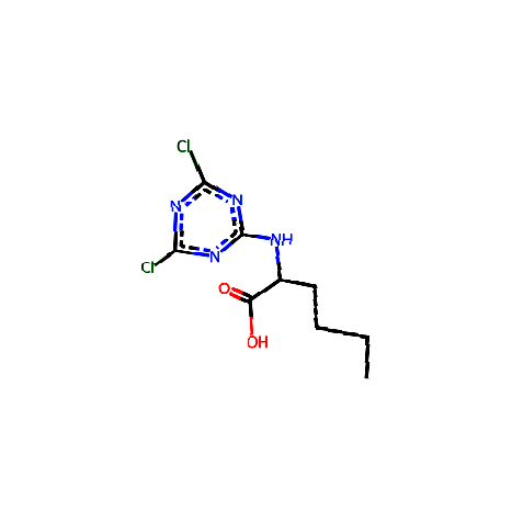 CCCCC(Nc1nc(Cl)nc(Cl)n1)C(=O)O